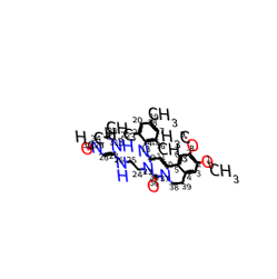 COc1cc2c(cc1OC)-c1c/c(=N\c3c(C)cc(C)cc3C)n(CCN/C(=C/N=O)NC(C)C)c(=O)n1CC2